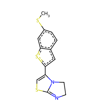 CSc1ccc2cc(C3=CSC4=NCCN34)sc2c1